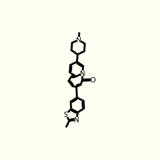 Cc1nc2ccc(C3=C\C(=O)N4C=C(C5CCN(C)CC5)C=C\C4=C/C=C/3)cc2s1